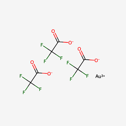 O=C([O-])C(F)(F)F.O=C([O-])C(F)(F)F.O=C([O-])C(F)(F)F.[Au+3]